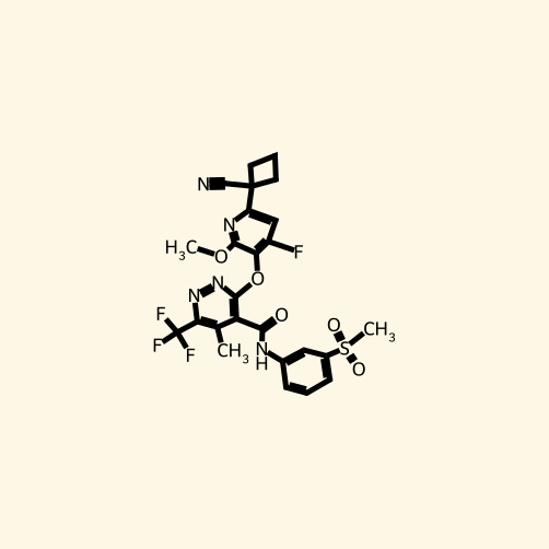 COc1nc(C2(C#N)CCC2)cc(F)c1Oc1nnc(C(F)(F)F)c(C)c1C(=O)Nc1cccc(S(C)(=O)=O)c1